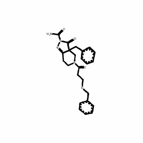 NC(=O)N1N=C2CCN(C(=O)[CH]COCc3ccccc3)CC2(Cc2ccccc2)C1=O